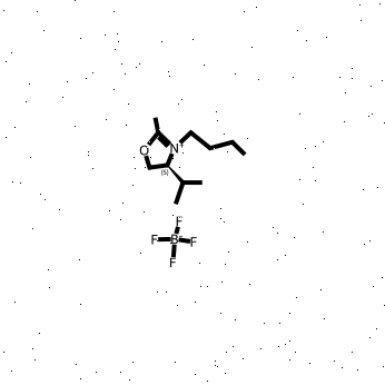 CCCC[N+]1=C(C)OC[C@@H]1C(C)C.F[B-](F)(F)F